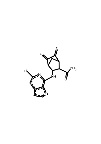 NC(=O)C1C2CC(C(=O)C2=O)C1Nc1nc(Cl)nc2ccoc12